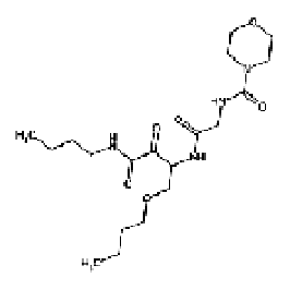 CCCCNC(=O)C(=O)C(COCCCC)NC(=O)CNC(=O)N1CCOCC1